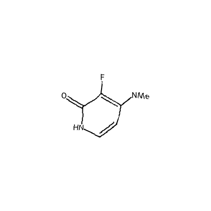 CNc1cc[nH]c(=O)c1F